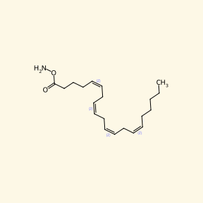 CCCCC/C=C\C/C=C\C/C=C\C/C=C\CCCC(=O)ON